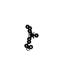 C1=Cc2c(oc3cccc(-c4ccc5cc(-c6nc(-c7ccccc7)nc(-c7ccc8c(ccc9ccccc98)c7)n6)ccc5c4)c23)CC1